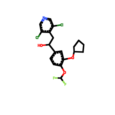 OC(Cc1c(Cl)cncc1Cl)c1ccc(OC(F)F)c(OC2CCCC2)c1